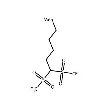 CSCCCCC(S(=O)(=O)C(F)(F)F)S(=O)(=O)C(F)(F)F